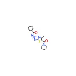 Cc1nc(N=[N+]=NC(=O)c2ccccc2)sc1C(=O)N1CCCCC1